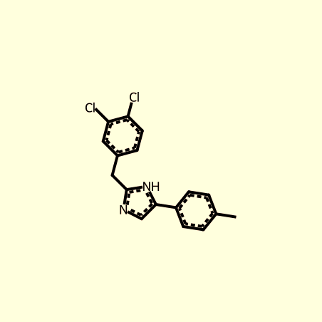 Cc1ccc(-c2cnc(Cc3ccc(Cl)c(Cl)c3)[nH]2)cc1